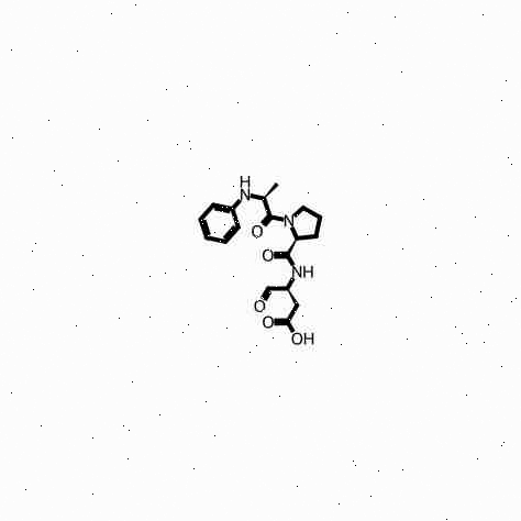 C[C@H](Nc1ccccc1)C(=O)N1CCC[C@H]1C(=O)N[C@H](C=O)CC(=O)O